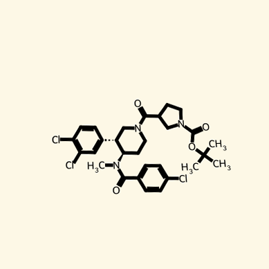 CN(C(=O)c1ccc(Cl)cc1)[C@@H]1CCN(C(=O)C2CCN(C(=O)OC(C)(C)C)C2)C[C@H]1c1ccc(Cl)c(Cl)c1